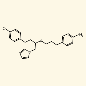 Nc1ccc(CCCSC(CCc2ccc(Cl)cc2)Cn2ccnc2)cc1